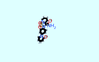 NC(=O)[C@]12[CH]CCCN1S(=O)(=O)N(c1ccc(-n3ccccc3=O)cc1)C2